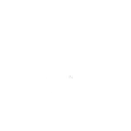 c1ccc(-c2ccc(Cc3ccco3)[nH]2)cc1